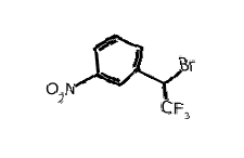 O=[N+]([O-])c1cccc(C(Br)C(F)(F)F)c1